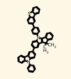 CC1(C)c2ccccc2-c2c1c1cc(-c3ccc4c(c3)c3ccccc3n4-c3ccccc3)ccc1n2-c1ccc(-c2ccc3sc4ccccc4c3c2)cc1